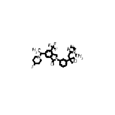 CC(c1cc2c(c(C(F)(F)F)c1)CN(c1cccc(C3(Cc4nncn4C)COC3)c1)C2=O)N1CCC(F)CC1